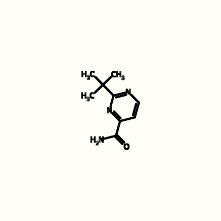 CC(C)(C)c1nccc(C(N)=O)n1